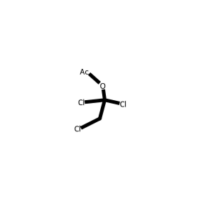 CC(=O)OC(Cl)(Cl)CCl